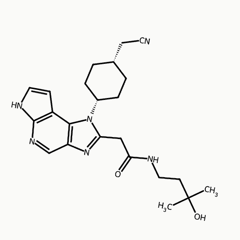 CC(C)(O)CCNC(=O)Cc1nc2cnc3[nH]ccc3c2n1[C@H]1CC[C@@H](CC#N)CC1